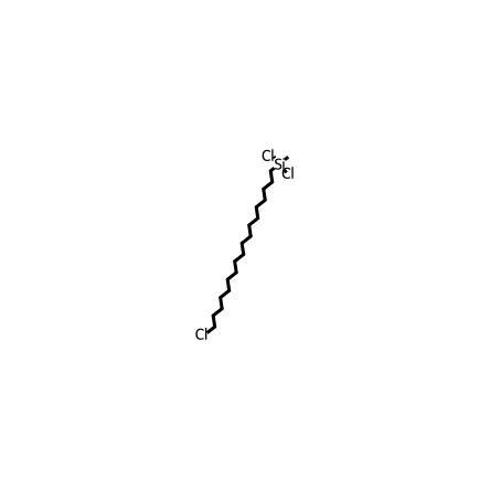 C[Si](Cl)(Cl)CCCCCCCCCCCCCCCCCCCl